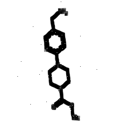 CC(C)(C)OC(=O)N1CCN(c2ccc(CN)cn2)CC1